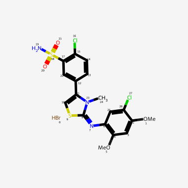 Br.COc1cc(OC)c(N=c2scc(-c3ccc(Cl)c(S(N)(=O)=O)c3)n2C)cc1Cl